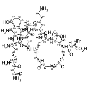 CC(C)[C@H](NC(=O)[C@@H]1CCC(=O)NCCC(=O)NCCCCC(NC(=O)C(CCCCN)NC(=O)[C@H](Cc2ccc(O)cc2)NC(=O)[C@H](CC(N)=O)NC(=O)[C@H](CN)NC(=O)C(N)CSS[C@H](N)C(=O)CC(N)=O)C(=O)NC([C@@H](C)O)C(=O)N1)C(=O)O